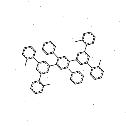 Cc1ccccc1-c1cc(-c2ccccc2C)cc(-c2cc(-c3ccccc3)c(-c3cc(-c4ccccc4C)cc(-c4ccccc4C)c3)cc2-c2ccccc2)c1